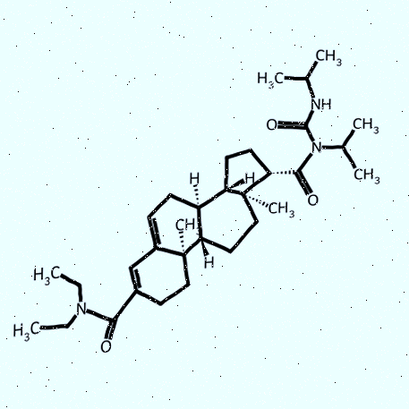 CCN(CC)C(=O)C1=CC2=CC[C@H]3[C@@H]4CC[C@H](C(=O)N(C(=O)NC(C)C)C(C)C)[C@@]4(C)CC[C@@H]3[C@@]2(C)CC1